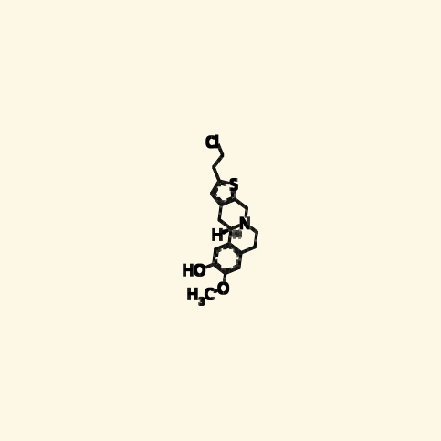 COc1cc2c(cc1O)[C@@H]1Cc3cc(CCCl)sc3CN1CC2